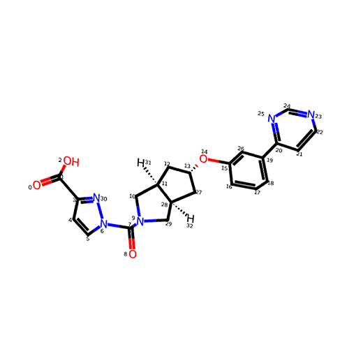 O=C(O)c1ccn(C(=O)N2C[C@H]3C[C@H](Oc4cccc(-c5ccncn5)c4)C[C@H]3C2)n1